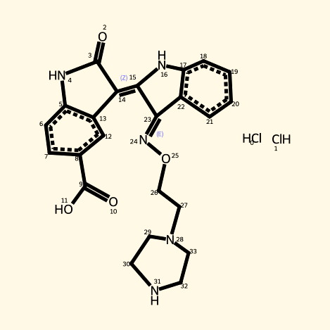 Cl.Cl.O=C1Nc2ccc(C(=O)O)cc2/C1=C1/Nc2ccccc2/C1=N\OCCN1CCNCC1